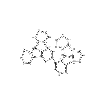 c1ccc2c(c1)c1cc(-c3cccc4c5cccc6c7ccccc7n(c34)c65)cc3c4ccccc4n2c13